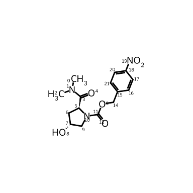 CN(C)C(=O)[C@@H]1C[C@@H](O)CN1C(=O)OCc1ccc([N+](=O)[O-])cc1